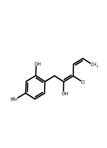 C/C=C\C(Cl)=C(\O)Cc1ccc(C(C)(C)C)cc1O